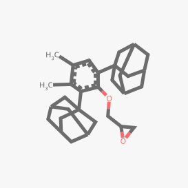 Cc1cc(C23CC4CC(CC(C4)C2)C3)c(OCC2CO2)c(C23CC4CC(CC(C4)C2)C3)c1C